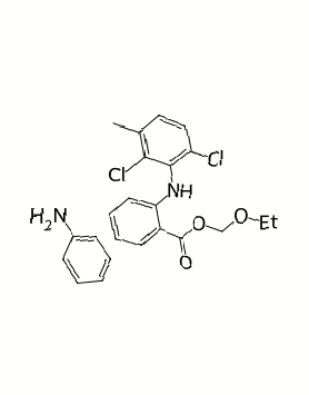 CCOCOC(=O)c1ccccc1Nc1c(Cl)ccc(C)c1Cl.Nc1ccccc1